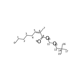 CCCCCC=C(C)C(=O)OCOCC(C)(C)C